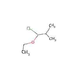 CCOC(Cl)C(C)C